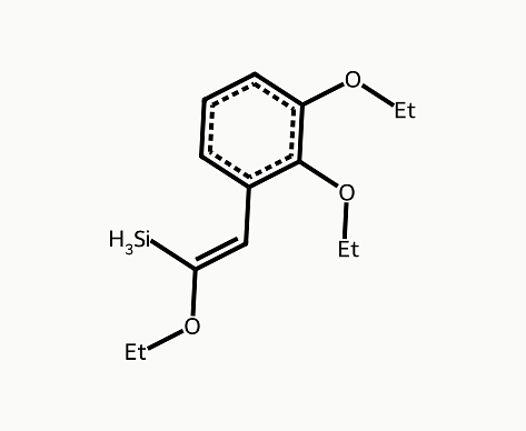 CCOC([SiH3])=Cc1cccc(OCC)c1OCC